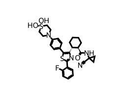 N#CC1(NC(=O)[C@@H]2CCCC[C@H]2c2nc(-c3ccccc3F)sc2-c2ccc(N3CCS(O)(O)CC3)cc2)CC1